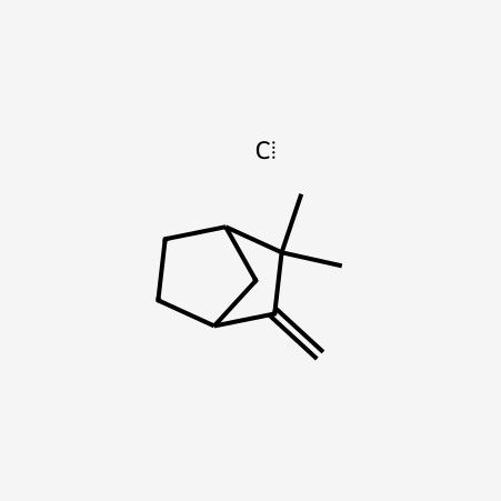 C=C1C2CCC(C2)C1(C)C.[C]